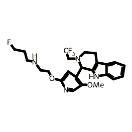 COc1cnc(OCCNCCCF)cc1C1c2[nH]c3ccccc3c2CCN1CC(F)(F)F